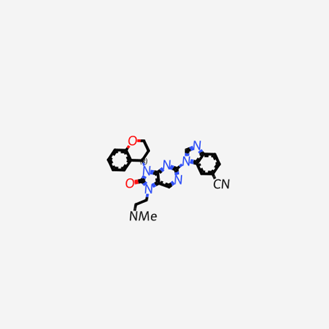 CNCCn1c(=O)n([C@@H]2CCOc3ccccc32)c2nc(-n3cnc4ccc(C#N)cc43)ncc21